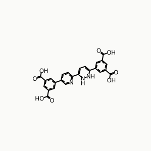 O=C(O)c1cc(C(=O)O)cc(C2=CC=C(c3ccc(-c4cc(C(=O)O)cc(C(=O)O)c4)cn3)NN2)c1